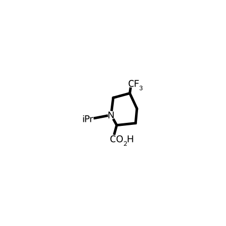 CC(C)N1CC(C(F)(F)F)CCC1C(=O)O